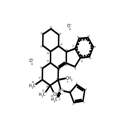 [CH2]=[Zr+2]([CH]1C=CC=C1)[C]1(C)C2=C3Cc4ccccc4C3C3CCCCC3C2CC(C)C1(C)C.[Cl-].[Cl-]